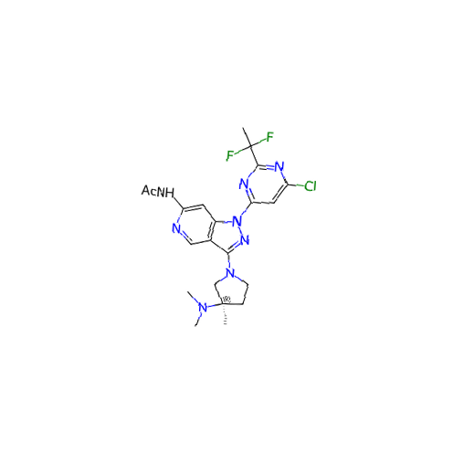 CC(=O)Nc1cc2c(cn1)c(N1CC[C@@](C)(N(C)C)C1)nn2-c1cc(Cl)nc(C(C)(F)F)n1